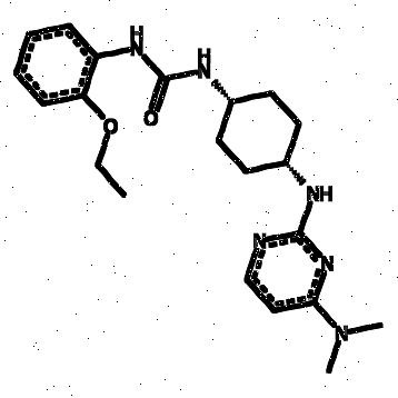 CCOc1ccccc1NC(=O)N[C@H]1CC[C@@H](Nc2nccc(N(C)C)n2)CC1